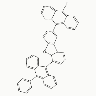 Fc1c2ccccc2c(-c2ccc3c(c2)C2C=CC=C(c4c5ccccc5c(-c5ccccc5)c5ccccc45)C2O3)c2ccccc12